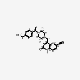 CC(c1ccc(CO)cc1)N1C[C@H](C)N(Cc2nc(=O)[nH]c3ccc(C#N)nc23)C[C@H]1C